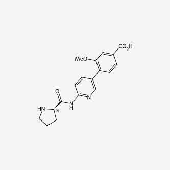 COc1cc(C(=O)O)ccc1-c1ccc(NC(=O)[C@H]2CCCN2)nc1